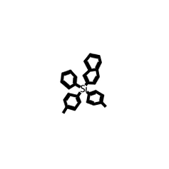 Cc1ccc([Si](c2ccccc2)(c2ccc(C)cc2)c2ccc3ccccc3c2)cc1